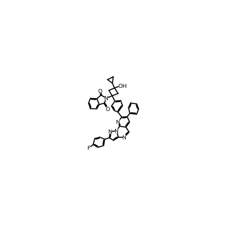 O=C1c2ccccc2C(=O)N1C1(c2ccc(-c3nc4c(cnc5cc(-c6ccc(F)cc6)nn54)cc3-c3ccccc3)cc2)CC(O)(C2CC2)C1